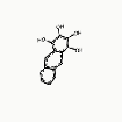 Oc1c(O)c(O)c2cc3ccccc3cc2c1O